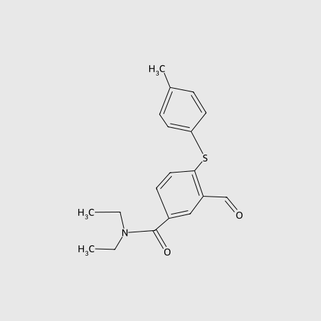 CCN(CC)C(=O)c1ccc(Sc2ccc(C)cc2)c(C=O)c1